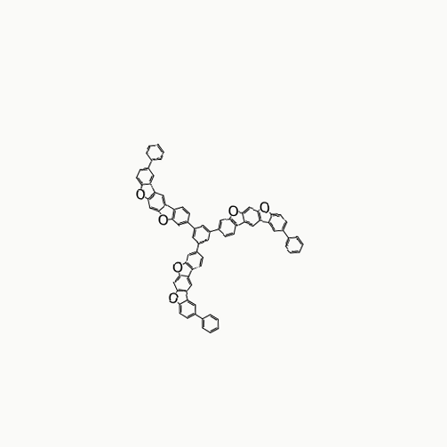 c1ccc(-c2ccc3oc4cc5oc6cc(-c7cc(-c8ccc9c(c8)oc8cc%10oc%11ccc(-c%12ccccc%12)cc%11c%10cc89)cc(-c8ccc9c(c8)oc8cc%10oc%11ccc(-c%12ccccc%12)cc%11c%10cc89)c7)ccc6c5cc4c3c2)cc1